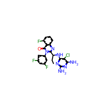 CCC(Nc1nc(N)nc(N)c1Cl)c1nc2cccc(F)c2c(=O)n1-c1cc(F)cc(F)c1